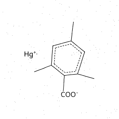 Cc1cc(C)c(C(=O)[O-])c(C)c1.[Hg+]